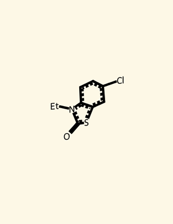 CCn1c(=O)sc2cc(Cl)ccc21